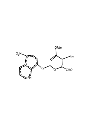 CCC(C)C(C(=O)OC)N(C=O)OCOc1ccc([N+](=O)[O-])c2cccnc12